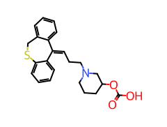 O=C(O)OC1CCCN(CCC=C2c3ccccc3CSc3ccccc32)C1